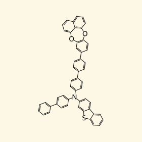 c1ccc(-c2ccc(N(c3ccc(-c4ccc(-c5ccc6c(c5)Oc5cccc7cccc(c57)O6)cc4)cc3)c3ccc4c(c3)sc3ccccc34)cc2)cc1